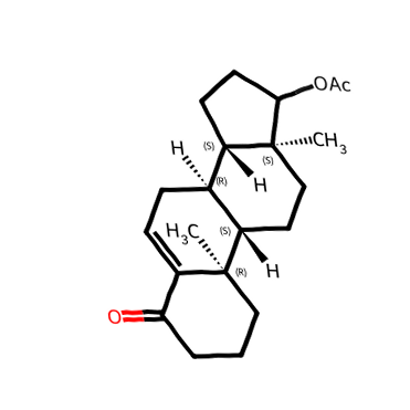 CC(=O)OC1CC[C@H]2[C@@H]3CC=C4C(=O)CCC[C@]4(C)[C@H]3CC[C@]12C